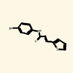 O=C(C=Cc1cccs1)Nc1ccc(Br)cc1